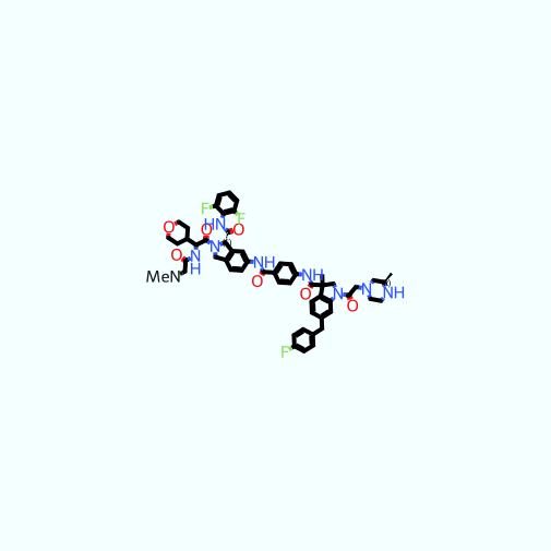 CNCC(=O)NC(C(=O)N1Cc2ccc(NC(=O)c3ccc(NC(=O)C4(C)CN(C(=O)CN5CCN[C@H](C)C5)c5cc(Cc6ccc(F)cc6)ccc54)cc3)cc2[C@H]1C(=O)Nc1c(F)cccc1F)C1CCOCC1